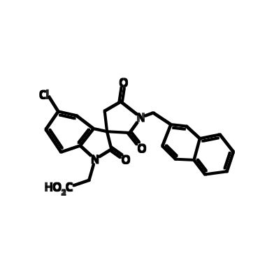 O=C(O)CN1C(=O)C2(CC(=O)N(Cc3ccc4ccccc4c3)C2=O)c2cc(Cl)ccc21